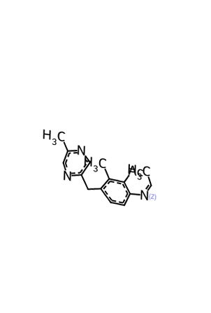 C/C=N\c1ccc(Cc2cnc(C)cn2)c(C)c1C(C)=O